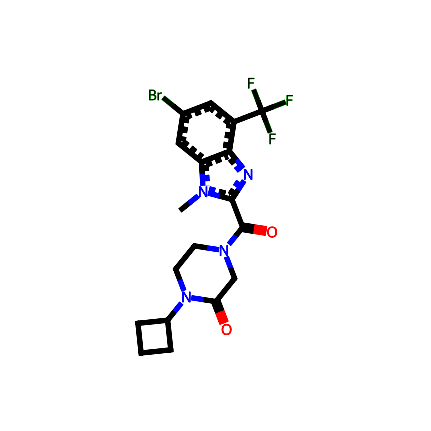 Cn1c(C(=O)N2CCN(C3CCC3)C(=O)C2)nc2c(C(F)(F)F)cc(Br)cc21